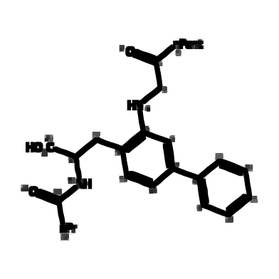 CCCCCC(=O)CNc1cc(-c2ccccc2)ccc1CC(NC(=O)CCC)C(=O)O